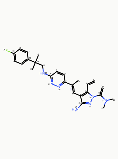 C=Cc1c(/C=C(\C)c2ccc(NCC(C)(C)c3ccc(F)cc3)nn2)c(N)nn1C(=C)N(C)C